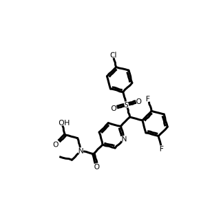 CCN(CC(=O)O)C(=O)c1ccc(C(c2cc(F)ccc2F)S(=O)(=O)c2ccc(Cl)cc2)nc1